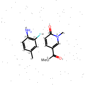 COC(=O)c1ccc(=O)n(C)c1.Cc1ccc(N)c(F)c1